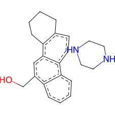 C1CNCCN1.OCc1cc2c3c(ccc2c2ccccc12)CCCC3